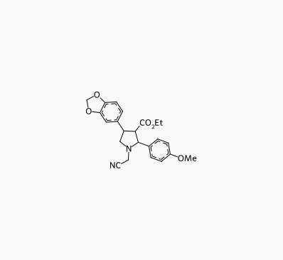 CCOC(=O)C1C(c2ccc3c(c2)OCO3)CN(CC#N)C1c1ccc(OC)cc1